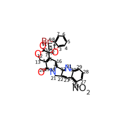 CC[C@@]1(Oc2ccccc2Br)C(=O)OCc2c1cc1n(c2=O)Cc2cc3c([N+](=O)[O-])cccc3nc2-1